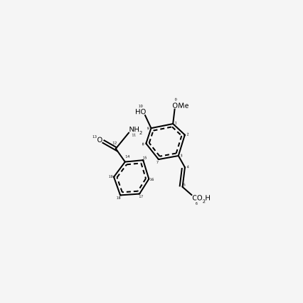 COc1cc(C=CC(=O)O)ccc1O.NC(=O)c1ccccc1